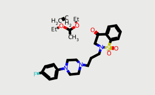 C=C.CCOC(C)OCC.O=C1CN(CCCN2CCN(c3ccc(F)cc3)CC2)S(=O)(=O)c2ccccc21